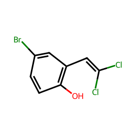 Oc1ccc(Br)cc1C=C(Cl)Cl